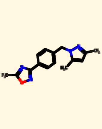 Cc1cc(C(F)(F)F)nn1Cc1ccc(-c2noc(C(F)(F)F)n2)cc1